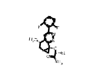 CC[C@@H](O[C@]12CC1C[C@H](C)c1cc(-c3c(F)cccc3F)nnc12)C(N)=O